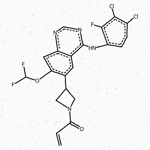 C=CC(=O)N1CC(c2cc3c(Nc4ccc(Cl)c(Cl)c4F)ncnc3cc2OC(F)F)C1